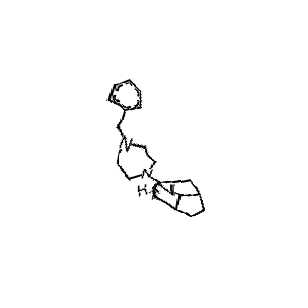 NC1C2CCC1CC(N1CCN(Cc3ccccc3)CC1)C2